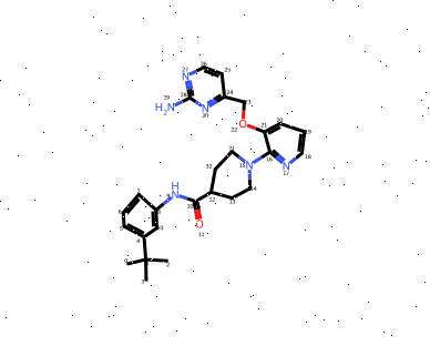 CC(C)(C)c1cccc(NC(=O)C2CCN(c3ncccc3OCc3ccnc(N)n3)CC2)c1